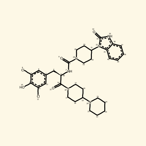 O=C(N[C@H](Cc1cc(Cl)c(O)c(Cl)c1)C(=O)N1CCC(N2CCCCC2)CC1)N1CCC(n2c(=O)[nH]c3ccccc32)CC1